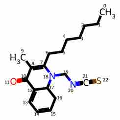 CCCCCCCC1=C(C)C(=O)C2=CC=CCC2N1CN=C=S